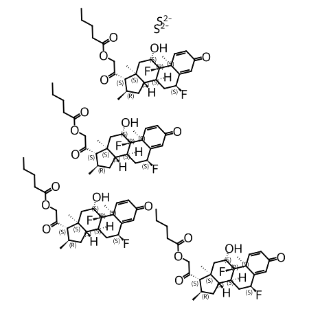 CCCCC(=O)OCC(=O)[C@H]1[C@H](C)C[C@H]2[C@@H]3C[C@H](F)C4=CC(=O)C=C[C@]4(C)[C@@]3(F)[C@@H](O)C[C@@]21C.CCCCC(=O)OCC(=O)[C@H]1[C@H](C)C[C@H]2[C@@H]3C[C@H](F)C4=CC(=O)C=C[C@]4(C)[C@@]3(F)[C@@H](O)C[C@@]21C.CCCCC(=O)OCC(=O)[C@H]1[C@H](C)C[C@H]2[C@@H]3C[C@H](F)C4=CC(=O)C=C[C@]4(C)[C@@]3(F)[C@@H](O)C[C@@]21C.CCCCC(=O)OCC(=O)[C@H]1[C@H](C)C[C@H]2[C@@H]3C[C@H](F)C4=CC(=O)C=C[C@]4(C)[C@@]3(F)[C@@H](O)C[C@@]21C.[S-2].[S-2]